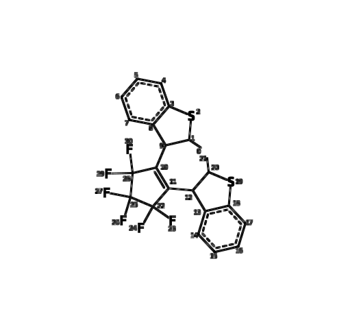 CC1Sc2ccccc2C1C1=C(C2c3ccccc3SC2C)C(F)(F)C(F)(F)C1(F)F